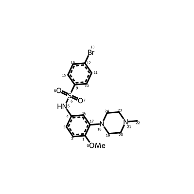 COc1ccc(NS(=O)(=O)c2ccc(Br)cc2)cc1N1CCN(C)CC1